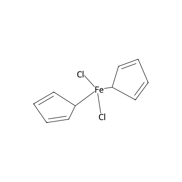 [Cl][Fe]([Cl])([CH]1C=CC=C1)[CH]1C=CC=C1